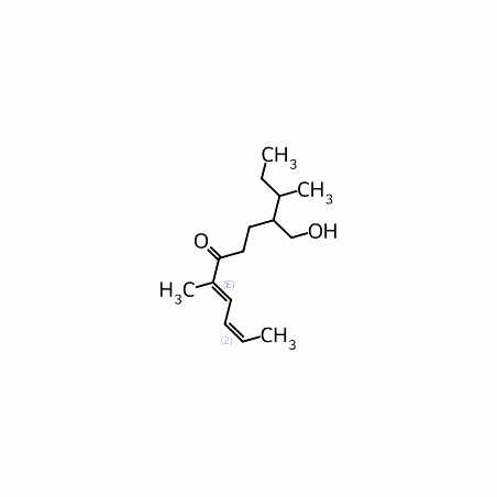 C/C=C\C=C(/C)C(=O)CCC(CO)C(C)CC